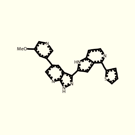 COc1cncc(-c2cnc3[nH]nc(-c4cc5c(-c6cccs6)nccc5[nH]4)c3c2)c1